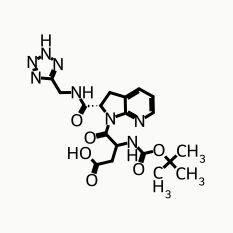 CC(C)(C)OC(=O)NC(CC(=O)O)C(=O)N1c2ncccc2C[C@H]1C(=O)NCc1nn[nH]n1